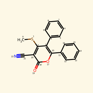 CSc1c(-c2ccccc2)c(-c2ccccc2)oc(=O)c1C#N